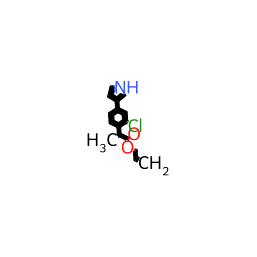 C=CCOC(=O)C(C)c1ccc(-c2cc[nH]c2)cc1Cl